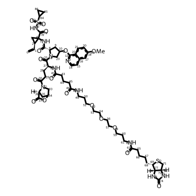 C=C[C@H]1CC1(NC(=O)[C@@H]1CC(Oc2nccc3cc(OC)ccc23)CN1C(=O)[C@H](CCC(=O)N1CC2C[C@H]1C(=O)O2)NC(=O)CCCC(=O)NCCCOCCOCCOCCCNC(=O)CCCC[C@@H]1SC[C@@H]2NC(=O)N[C@@H]21)C(=O)NS(=O)(=O)C1CC1